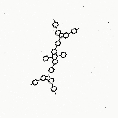 Cc1ccc(-c2ccc3c(c2)c2cc(-c4ccc(C)cc4)ccc2n3-c2ccc(-c3ccc4c(-c5ccccc5)c5cc(-c6ccc(-n7c8ccc(-c9ccc(C)cc9)cc8c8cc(-c9ccc(C)cc9)ccc87)cc6)ccc5c(-c5ccccc5)c4c3)cc2)cc1